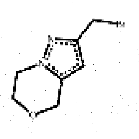 BrCc1cc2n(n1)CCOC2